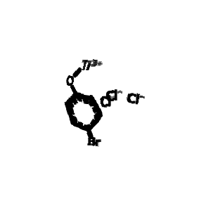 [Cl-].[Cl-].[Cl-].[Ti+3][O]c1ccc(Br)cc1